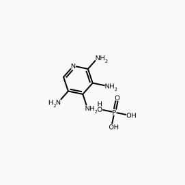 Nc1cnc(N)c(N)c1N.O=P(O)(O)O